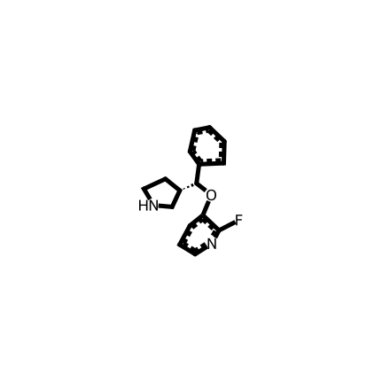 Fc1ncccc1OC(c1ccccc1)[C@H]1CCNC1